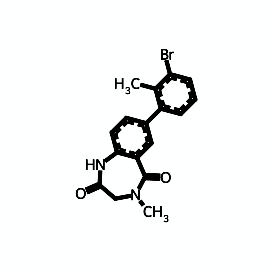 Cc1c(Br)cccc1-c1ccc2c(c1)C(=O)N(C)CC(=O)N2